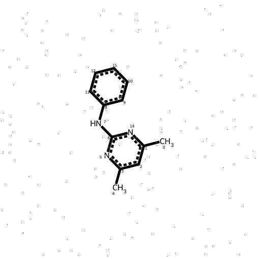 Cc1cc(C)nc(Nc2cc[c]cc2)n1